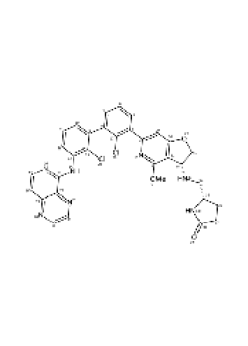 COc1nc(-c2cccc(-c3cccc(Nc4nccc5nccnc45)c3Cl)c2Cl)cc2c1[C@@H](NC[C@@H]1CCC(=O)N1)CO2